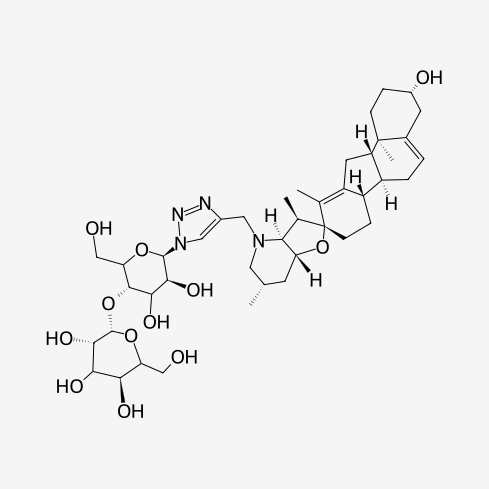 CC1=C2C[C@H]3[C@@H](CC=C4C[C@@H](O)CC[C@@]43C)[C@@H]2CC[C@]12O[C@@H]1C[C@H](C)CN(Cc3cn([C@@H]4OC(CO)[C@@H](O[C@@H]5OC(CO)[C@@H](O)C(O)[C@@H]5O)C(O)[C@@H]4O)nn3)[C@H]1[C@H]2C